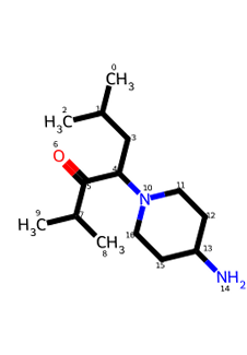 CC(C)CC(C(=O)C(C)C)N1CCC(N)CC1